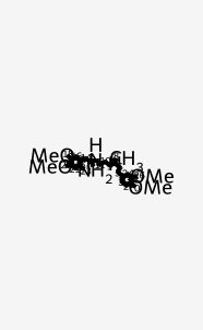 COc1ccc(CCN(C)CCCNCCc2cc(OC)c(OC)cc2N)cc1OC